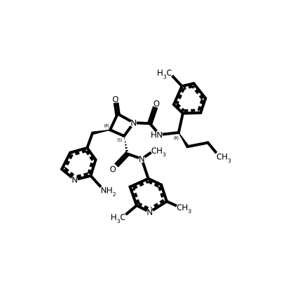 CCC[C@@H](NC(=O)N1C(=O)[C@H](Cc2ccnc(N)c2)[C@H]1C(=O)N(C)c1cc(C)nc(C)c1)c1cccc(C)c1